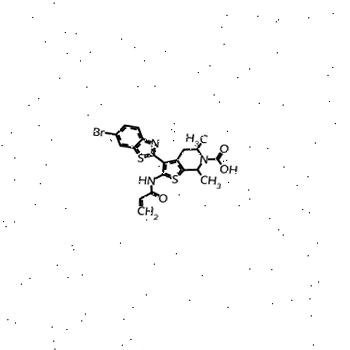 C=CC(=O)Nc1sc2c(c1-c1nc3ccc(Br)cc3s1)CC(C)N(C(=O)O)C2C